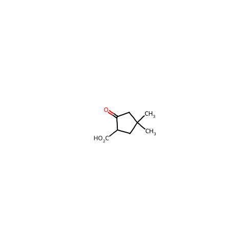 CC1(C)CC(=O)C(C(=O)O)C1